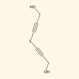 OCC#CSC#CCO